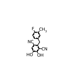 Cc1cc(Cc2c(C#N)cc(O)c(O)c2C#N)ccc1F